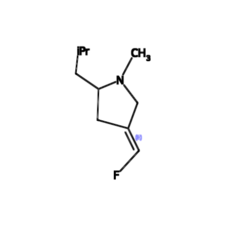 CC(C)CC1C/C(=C\F)CN1C